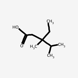 CCC(C)(CC(=O)O)C(C)C